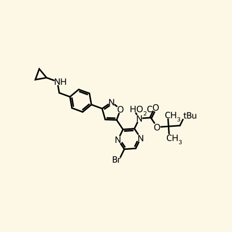 CC(C)(C)CC(C)(C)OC(=O)N(C(=O)O)c1ncc(Br)nc1-c1cc(-c2ccc(CNC3CC3)cc2)no1